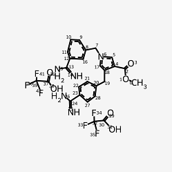 COC(=O)c1cn(Cc2cccc(C(=N)N)c2)cc1Cc1ccc(C(=N)N)cc1.O=C(O)C(F)(F)F.O=C(O)C(F)(F)F